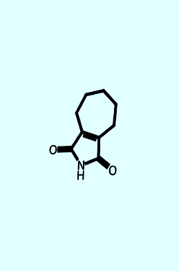 O=C1NC(=O)C2=C1CCCCC2